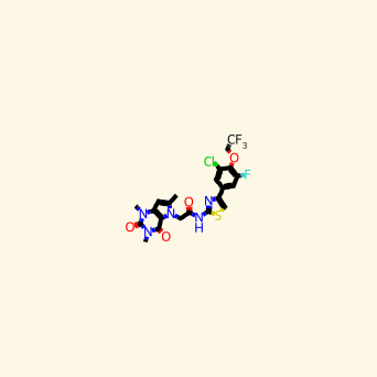 Cc1cc2c(c(=O)n(C)c(=O)n2C)n1CC(=O)Nc1nc(-c2cc(F)c(OCC(F)(F)F)c(Cl)c2)cs1